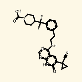 N#CC1(c2cc3c(NCCc4cccc(C(F)(F)C5CCN(C(=O)O)CC5)c4)ncnc3[nH]c2=O)CC1